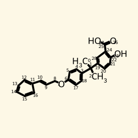 CC(C)(c1ccc(OCC=Cc2ccccc2)cc1)c1ccc(O)c(C(=O)O)c1